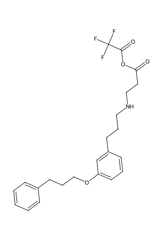 O=C(CCNCCCc1cccc(OCCCc2ccccc2)c1)OC(=O)C(F)(F)F